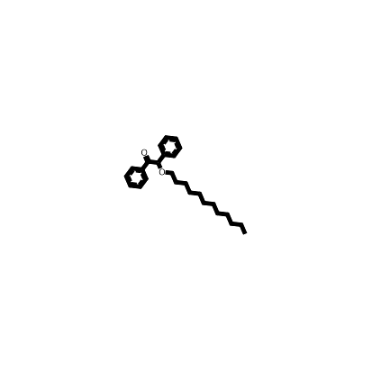 CCCCCCCCCCCCOC(C(=O)c1ccccc1)c1ccccc1